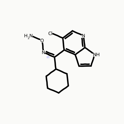 NO/N=C(\c1c(Cl)cnc2[nH]ccc12)C1CCCCC1